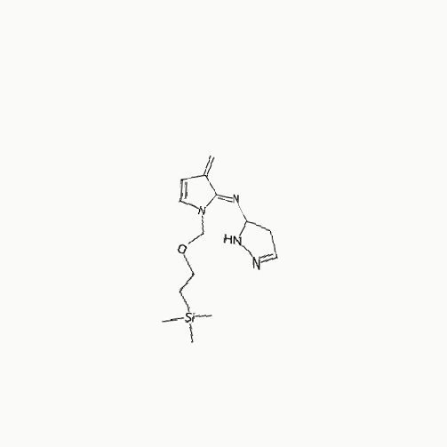 C=C1C=CN(COCC[Si](C)(C)C)C1=NC1CC=NN1